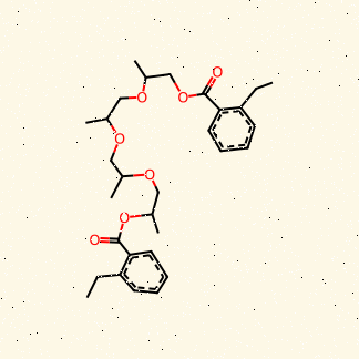 CCc1ccccc1C(=O)OCC(C)OCC(C)OCC(C)OCC(C)OC(=O)c1ccccc1CC